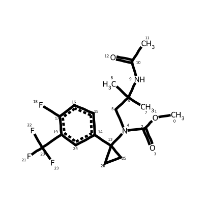 COC(=O)N(CC(C)(C)NC(C)=O)C1(c2ccc(F)c(C(F)(F)F)c2)CC1